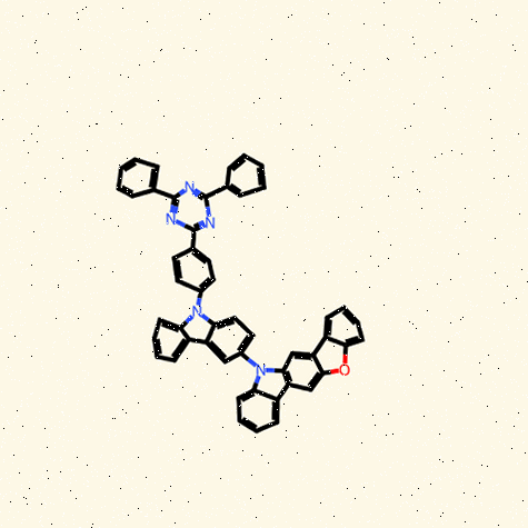 c1ccc(-c2nc(-c3ccccc3)nc(-c3ccc(-n4c5ccccc5c5cc(-n6c7ccccc7c7cc8oc9ccccc9c8cc76)ccc54)cc3)n2)cc1